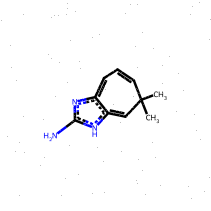 CC1(C)C=CC=c2nc(N)[nH]c2=C1